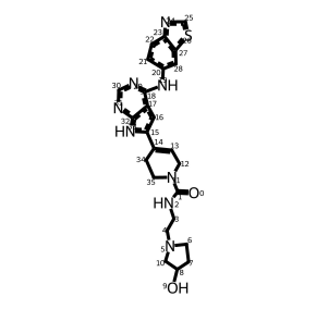 O=C(NCCN1CCC(O)C1)N1CC=C(c2cc3c(Nc4ccc5ncsc5c4)ncnc3[nH]2)CC1